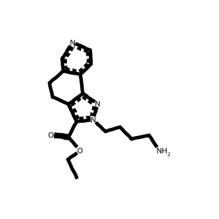 CCOC(=O)c1c2c(nn1CCCCN)-c1ccncc1CC2